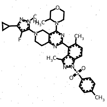 Cc1ccc(S(=O)(=O)n2nc(C)c3c(-c4nc5c(c(N6CCOCC6C)n4)CN(c4c(F)c(C6CC6)nn4C)CC5)c(C)ccc32)cc1